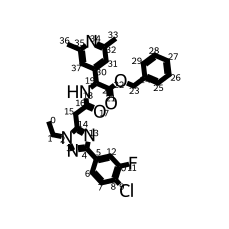 CCn1nc(-c2ccc(Cl)c(F)c2)nc1CC(=O)NC(C(=O)OCc1ccccc1)c1cc(C)nc(C)c1